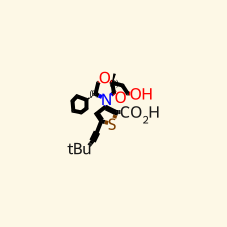 CC(C)(C)C#Cc1cc(N2C(=O)[C@@](C)(CCO)OC[C@H]2C2CCCCC2)c(C(=O)O)s1